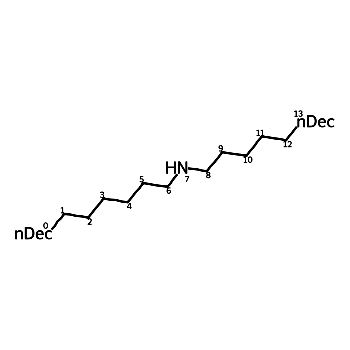 CCCCCCCCCCCCCCCCNCCCCCCCCCCCCCCC